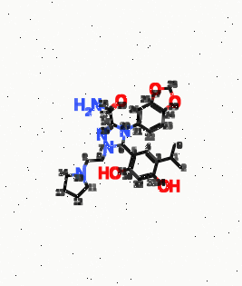 CC(C)c1cc(C2N(CCN3CCCC3)N=C(C(N)=O)N2c2ccc3c(c2)OCO3)c(O)cc1O